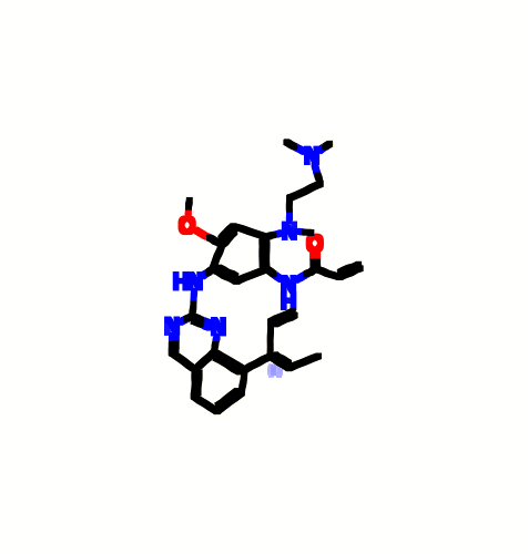 C=CC(=O)Nc1cc(Nc2ncc3cccc(/C(C=C)=C/C)c3n2)c(OC)cc1N(C)CCN(C)C